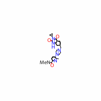 CNC(=O)c1ccc(N2CCN(Cc3ccc4c(=O)n(C5CC5)c(=O)[nH]c4c3)CC2)c(C)n1